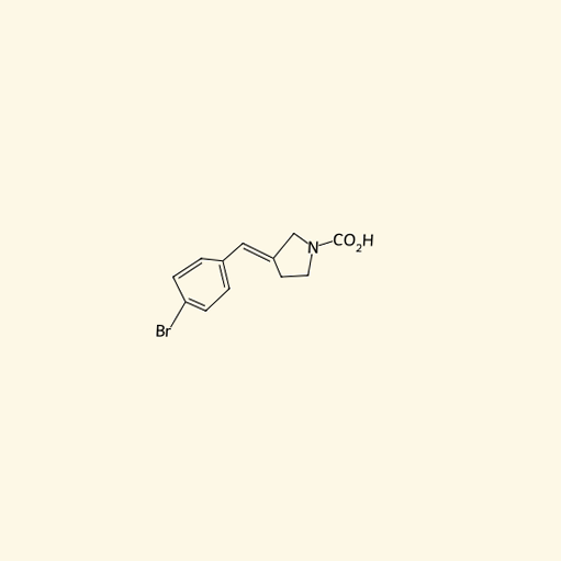 O=C(O)N1CC/C(=C\c2ccc(Br)cc2)C1